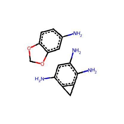 Nc1cc(N)c2c(c1N)C2.Nc1ccc2c(c1)OCO2